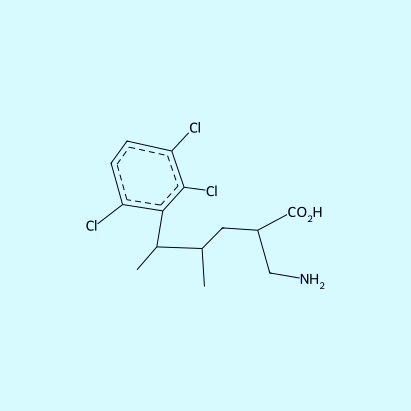 CC(CC(CN)C(=O)O)C(C)c1c(Cl)ccc(Cl)c1Cl